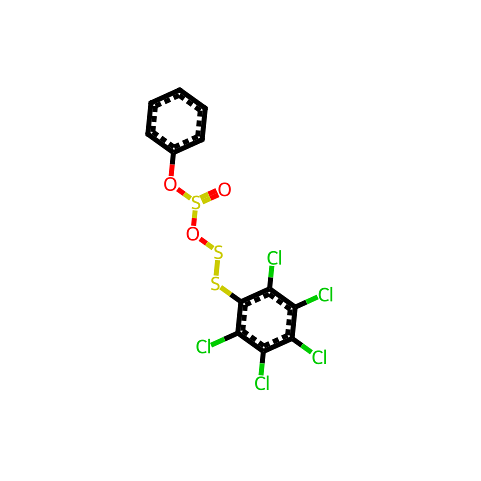 O=S(OSSc1c(Cl)c(Cl)c(Cl)c(Cl)c1Cl)Oc1ccccc1